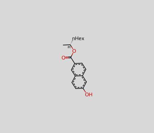 CCCCCC[C@@H](C)OC(=O)c1ccc2cc(O)ccc2c1